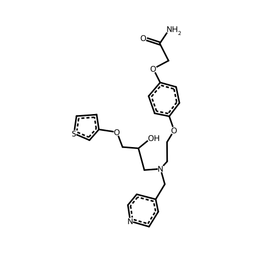 NC(=O)COc1ccc(OCCN(Cc2ccncc2)CC(O)COc2ccsc2)cc1